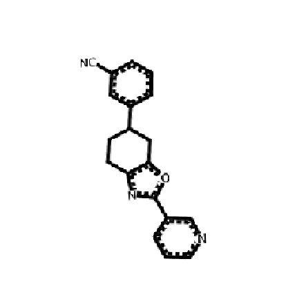 N#Cc1cccc(C2CCc3nc(-c4cccnc4)oc3C2)c1